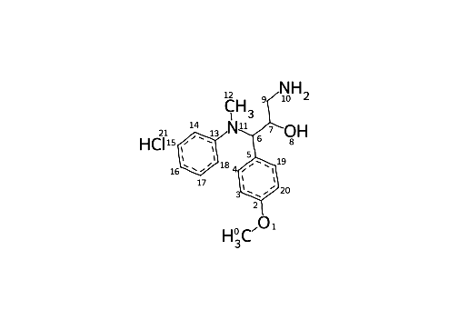 COc1ccc(C(C(O)CN)N(C)c2ccccc2)cc1.Cl